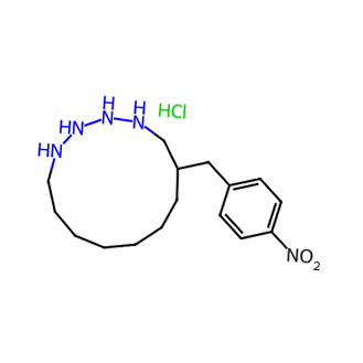 Cl.O=[N+]([O-])c1ccc(CC2CCCCCCCNNNNC2)cc1